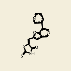 O=C1NC(=S)S/C1=C/c1cc2cncc(-c3cccnc3)c2o1